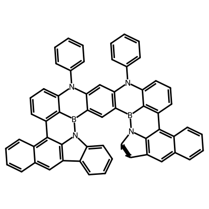 c1ccc(N2c3cc4c(cc3B3c5c(cccc52)-c2c5ccccc5cc5c6ccccc6n3c25)B2c3c(cccc3N4c3ccccc3)-c3c4ccccc4cc4c5ccccc5n2c34)cc1